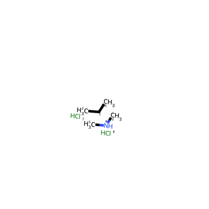 CCC.CNC.Cl.Cl